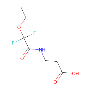 CCOC(F)(F)C(=O)NCCC(=O)O